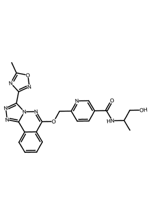 Cc1nc(-c2nnc3c4ccccc4c(OCc4ccc(C(=O)NC(C)CO)cn4)nn23)no1